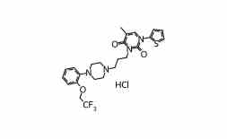 Cc1cn(-c2cccs2)c(=O)n(CCCN2CCN(c3ccccc3OCC(F)(F)F)CC2)c1=O.Cl